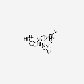 CCn1nc(C2CC2)cc1N1CCc2nc(-c3c(C)ccc4[nH]nc(C)c34)nc(N3CCC(OC)C(C)(C)C3)c2C1